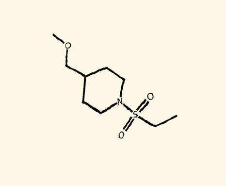 CCS(=O)(=O)N1CCC(COC)CC1